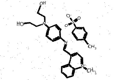 C[n+]1ccc(C=Nc2ccc(N(CCO)CCO)cc2)c2ccccc21.Cc1ccc(S(=O)(=O)[O-])cc1